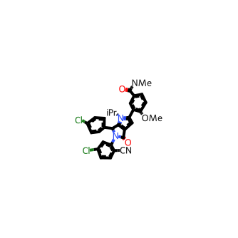 CNC(=O)c1ccc(OC)c(-c2cc3c(n2C(C)C)C(c2ccc(Cl)cc2)N(c2cc(Cl)ccc2C#N)C3=O)c1